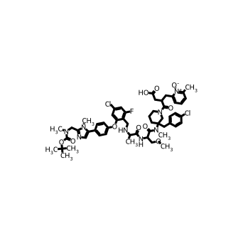 COCC(NC(=O)C(C)NCc1c(F)cc(Cl)cc1Oc1ccc(-c2cnc(CN(C)C(=O)OC(C)(C)C)n2C)cc1)C(=O)N(C)C1(Cc2ccc(Cl)cc2)CCCN(C(=O)C(CC(=O)O)Cc2cccc(C)[n+]2[O-])C1